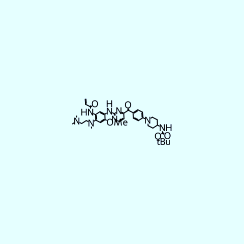 C=CC(=O)Nc1cc(Nc2nccc(C(=O)c3ccc(N4CCC(NC(=O)OC(C)(C)C)CC4)cc3)n2)c(OC)cc1N(C)CCN(C)C